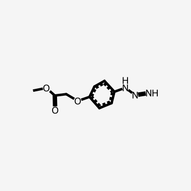 COC(=O)COc1ccc(NN=N)cc1